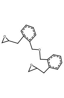 c1ccc(CC2CO2)c(COCc2ccccc2CC2CO2)c1